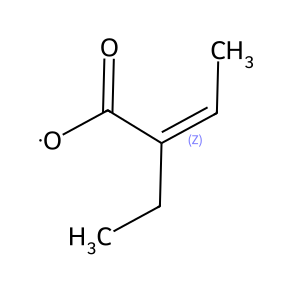 C/C=C(/CC)C([O])=O